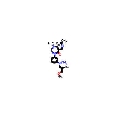 C=C(/N=C\C1=C(C(C)CC)N(C)CCN(c2cccc(N(N)/C=C(/COC(C)(C)C)C(C)CC)c2)C1=O)C(C)CC